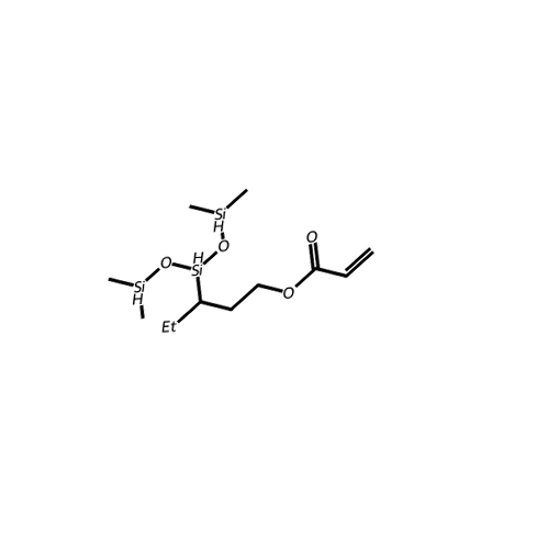 C=CC(=O)OCCC(CC)[SiH](O[SiH](C)C)O[SiH](C)C